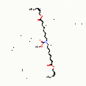 CCCCCC/C=C\COC(=O)CCCCCCCN(CCCCCCCC(=O)OC/C=C\CCCCCC)C(=O)OC(C)(C)C